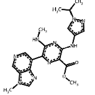 CNc1nc(Nc2cnn(C(C)C)c2)c(C(=O)OC)nc1-c1cncc2c1ncn2C